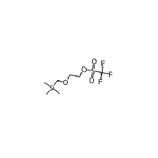 C[Si](C)(C)COCCOS(=O)(=O)C(F)(F)F